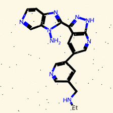 CCNCc1cncc(-c2cnc3[nH]nc(-c4nc5ccncc5n4N)c3c2)c1